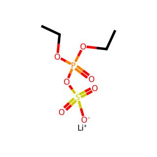 CCOP(=O)(OCC)OS(=O)(=O)[O-].[Li+]